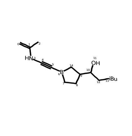 C=C(C)NC#CB1CCC(C(O)CC(C)CC)C1